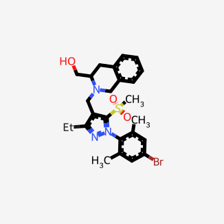 CCc1nn(-c2c(C)cc(Br)cc2C)c(S(C)(=O)=O)c1CN1Cc2ccccc2CC1CO